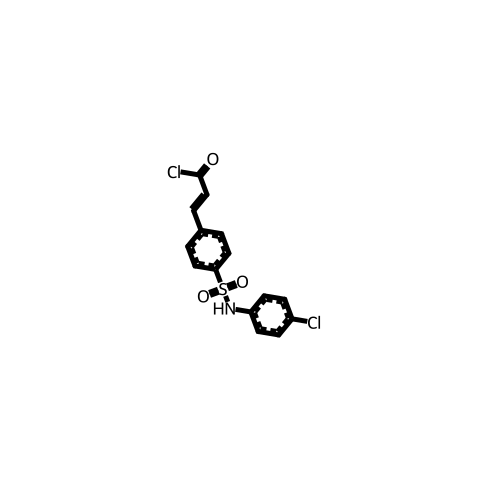 O=C(Cl)C=Cc1ccc(S(=O)(=O)Nc2ccc(Cl)cc2)cc1